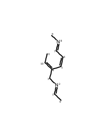 C/C=N/CC(/C=C\C=N\C)=C/C